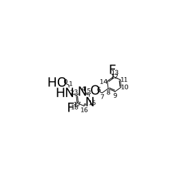 OCNc1nc(OCc2cccc(F)c2)ncc1F